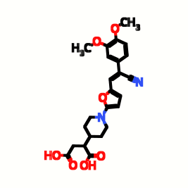 COc1ccc(C(C#N)=Cc2ccc(N3CCC(C(CC(=O)O)C(=O)O)CC3)o2)cc1OC